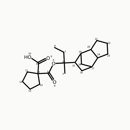 CCC(C)(OC(=O)C1(C(=O)O)CCCC1)C1CC2CC1C1CCCC21